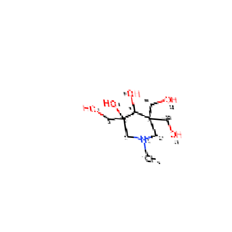 CN1CC(O)(CO)C(O)C(CO)(CO)C1